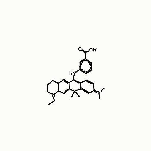 CCN1CCCC2C=C3C(=CC21)C(C)(C)C1=CC(=[N+](C)C)C=CC1=C3Nc1cccc(C(=O)O)c1